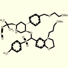 COCCCN1CCOc2ccc(C(O[C@H]3CN[C@@H](CC(C)(C)N=C=O)C[C@@H]3c3ccc(COCCOC)cc3)S(=O)(=O)c3ccc(C)cc3)cc21